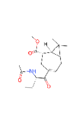 CC[C@H](NC(C)=O)C(=O)C1=CCC2[C@@H]([C@@H](C(=O)OC)C1)C2(C)C